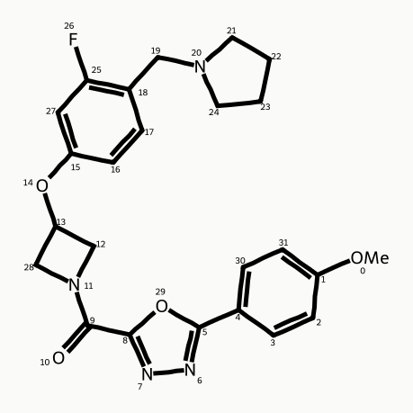 COc1ccc(-c2nnc(C(=O)N3CC(Oc4ccc(CN5CCCC5)c(F)c4)C3)o2)cc1